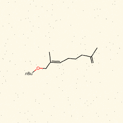 C=C(C)CCC/C=C(\C)COCCCC